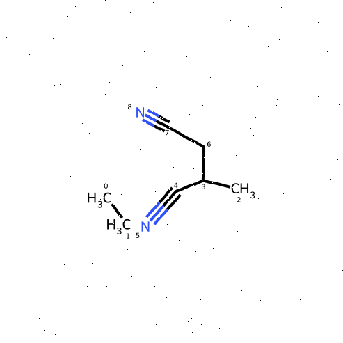 CC.CC(C#N)CC#N